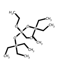 CCO[Si](CC)(O[Si](CC)(CC)CC)O[Si](CC)(CC)CC